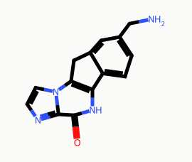 NCc1ccc2c(c1)Cc1c-2[nH]c(=O)c2nccn12